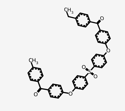 CCc1ccc(C(=O)c2ccc(Oc3ccc(S(=O)(=O)c4ccc(Oc5ccc(C(=O)c6ccc(C)cc6)cc5)cc4)cc3)cc2)cc1